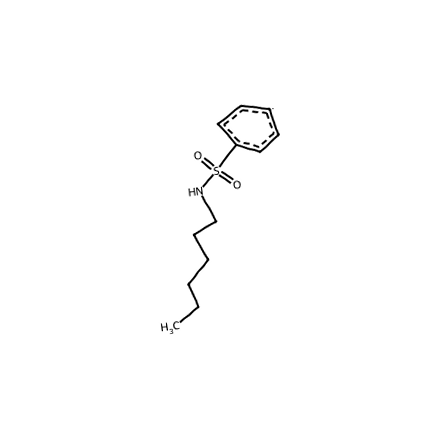 CCCCCCNS(=O)(=O)c1cc[c]cc1